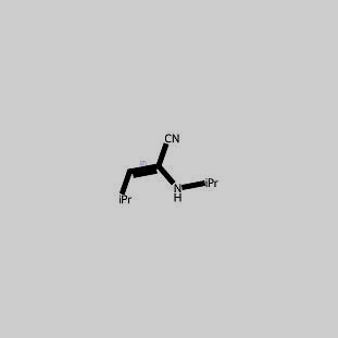 CC(C)/C=C(/C#N)NC(C)C